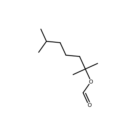 CC(C)CCCC(C)(C)OC=O